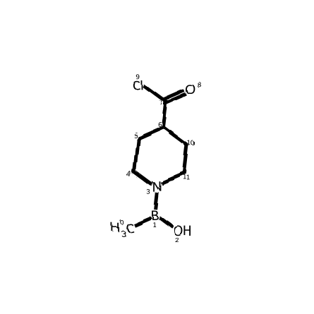 CB(O)N1CCC(C(=O)Cl)CC1